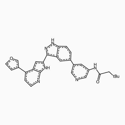 CC(C)(C)CC(=O)Nc1cncc(-c2ccc3[nH]nc(-c4cc5c(-c6ccoc6)ccnc5[nH]4)c3c2)c1